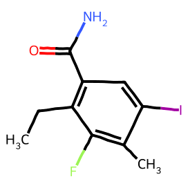 CCc1c(C(N)=O)cc(I)c(C)c1F